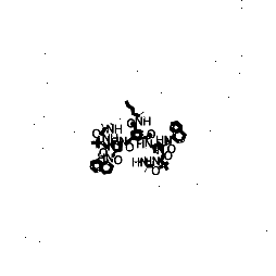 CCCC[C@H](C)NC(=O)c1cc(C(=O)N[C@H]2C[C@@H](C(=O)N[C@@H]3CCCc4ccccc43)N(C(=O)[C@@H](NC(=O)[C@H](C)NC)C(C)(C)C)C2)cc(C(=O)N[C@H]2C[C@@H](C(=O)N[C@@H]3CCCc4ccccc43)N(C(=O)[C@@H](NC(=O)[C@H](C)NC)C(C)(C)C)C2)c1